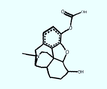 CN1CCC23c4c5ccc(OC(=O)O)c4OC2C(O)CCC3C1C5